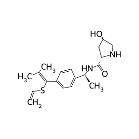 C=CSC(=C(C)C)c1ccc([C@H](C)NC(=O)[C@@H]2C[C@@H](O)CN2)cc1